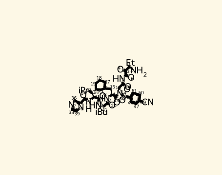 CCC(N)C(=O)C(=O)NC(=O)CN(C(=O)[C@H](CC1CCCCC1)NC(=O)[C@@H](NC(=O)[C@H](CC(C)C)NC(=O)c1cnccn1)[C@@H](C)CC)S(=O)(=O)c1ccc(C#N)cc1